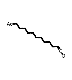 CC(=O)CCCCCCCCCCC=C=O